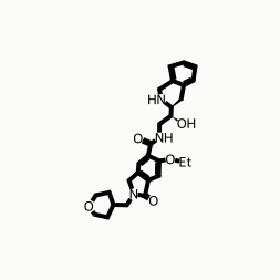 CCOc1cc2c(cc1C(=O)NC[C@@H](O)[C@@H]1Cc3ccccc3CN1)CN(CC1CCOCC1)C2=O